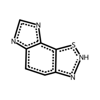 c1nc2ccc3n[nH]sc3c2n1